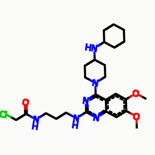 COc1cc2nc(NCCCNC(=O)CCl)nc(N3CCC(NC4CCCCC4)CC3)c2cc1OC